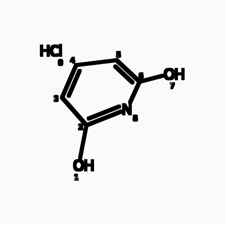 Cl.Oc1cccc(O)n1